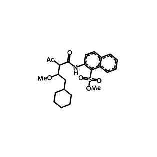 COC(CC1CCCCC1)C(C(C)=O)C(=O)Nc1ccc2ccccc2c1S(=O)(=O)OC